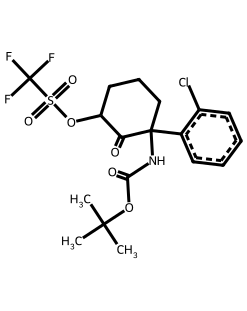 CC(C)(C)OC(=O)NC1(c2ccccc2Cl)CCCC(OS(=O)(=O)C(F)(F)F)C1=O